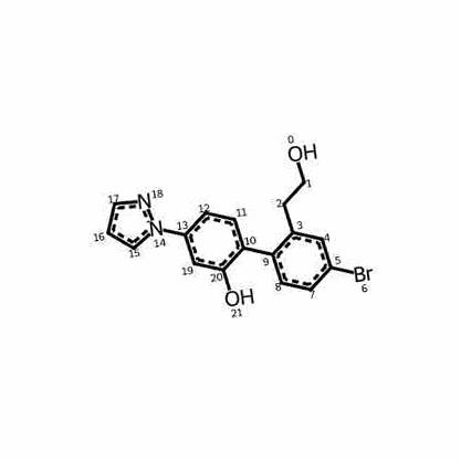 OCCc1cc(Br)ccc1-c1ccc(-n2cccn2)cc1O